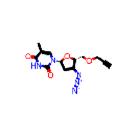 C#CCOC[C@H]1O[C@@H](n2cc(C)c(=O)[nH]c2=O)CC1N=[N+]=[N-]